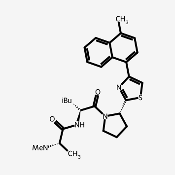 CC[C@@H](C)[C@H](NC(=O)[C@H](C)NC)C(=O)N1CCC[C@H]1c1nc(-c2ccc(C)c3ccccc23)cs1